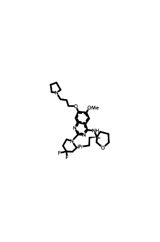 COc1cc2c(N[C@]3(CCC(C)C)CCCOC3)nc(N3CCC(F)(F)CC3)nc2cc1OCCCN1CCCC1